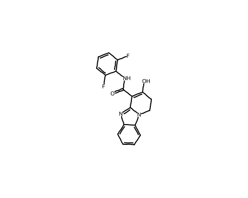 O=C(Nc1c(F)cccc1F)C1=C(O)CCn2c1nc1ccccc12